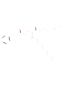 CCCCCCCCN[C@@H](CNC(=O)OCc1ccccc1)C(=O)NCCCCCC